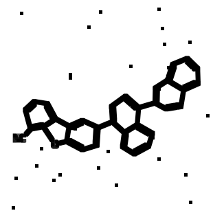 N#Cc1cccc2c1oc1ccc(-c3ccc(-c4ccc5ccccc5c4)c4ccccc34)cc12